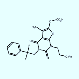 COCCn1c(=O)n(CC(F)(F)c2ccccc2)c(=O)c2c(C)c(OC(=O)O)sc21